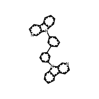 c1cc(-c2cccc(-n3c4ccccc4c4ccncc43)c2)cc(-n2c3ccccc3c3ccncc32)c1